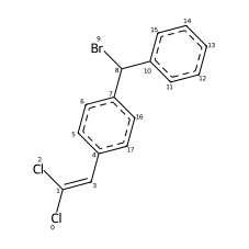 ClC(Cl)=Cc1ccc(C(Br)c2ccccc2)cc1